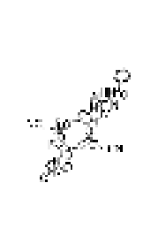 N#CCCOP1(=O)OCC2OC(n3ccc(=O)[nH]c3=O)C(F)C2OP(=S)(OCCC#N)OCC2OC(n3cnc4c(NC(=O)c5ccccc5)ncnc43)C(F)C2O1